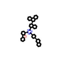 c1ccc2cc(-c3ccc(-c4nc(-c5ccc(-c6cc7ccccc7c7ccccc67)c6ccccc56)nc(-c5cccc6c5oc5ccccc56)n4)cc3)ccc2c1